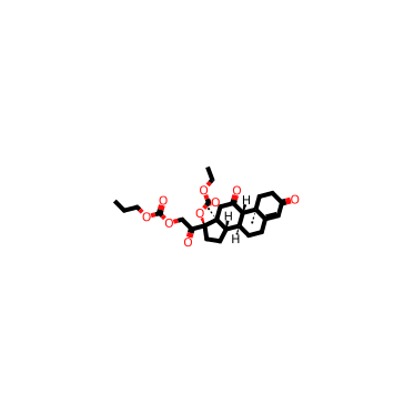 CCCOC(=O)OCC(=O)[C@@]1(OC(=O)OCC)CC[C@H]2[C@@H]3CCC4=CC(=O)CC[C@]4(C)[C@H]3C(=O)C[C@@]21C